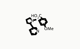 CN1CCCC1c1cccnc1.COc1ccc(C(=O)O)cc1